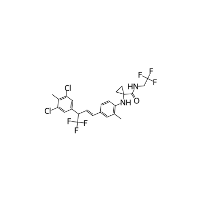 Cc1cc(/C=C/C(c2cc(Cl)c(C)c(Cl)c2)C(F)(F)F)ccc1NC1(C(=O)NCC(F)(F)F)CC1